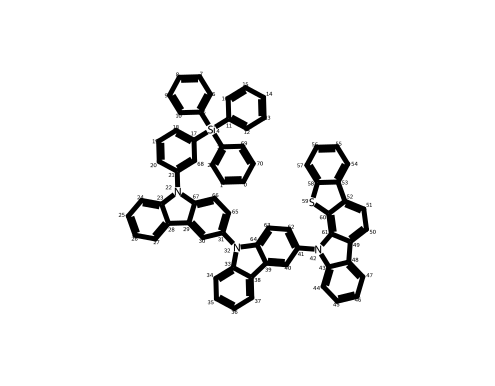 c1ccc([Si](c2ccccc2)(c2ccccc2)c2cccc(-n3c4ccccc4c4cc(-n5c6ccccc6c6cc(-n7c8ccccc8c8ccc9c%10ccccc%10sc9c87)ccc65)ccc43)c2)cc1